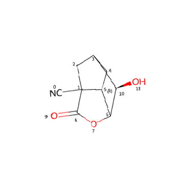 N#CC12CC3CC1C(OC2=O)[C@@H]3O